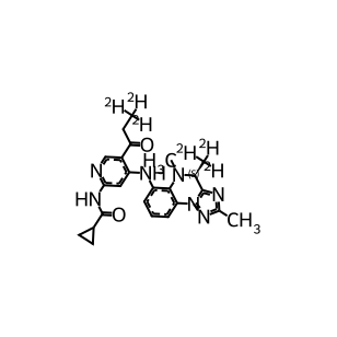 [2H]C([2H])([2H])CC(=O)c1cnc(NC(=O)C2CC2)cc1Nc1cccc2c1N(C)[C@@H](C([2H])([2H])[2H])c1nc(C)nn1-2